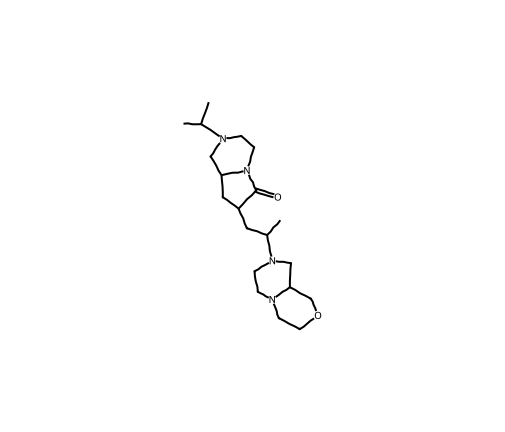 CC(C)N1CCN2C(=O)C(CC(C)N3CCN4CCOCC4C3)CC2C1